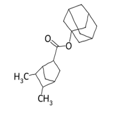 CC1C2CC(C(=O)OC34CC5CC(CC(C5)C3)C4)C(C2)C1C